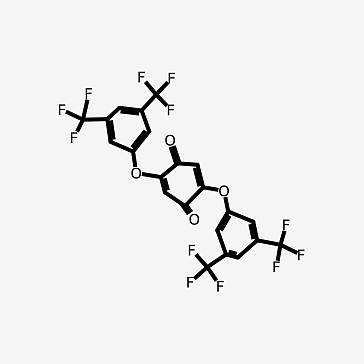 O=C1C=C(Oc2cc(C(F)(F)F)cc(C(F)(F)F)c2)C(=O)C=C1Oc1cc(C(F)(F)F)cc(C(F)(F)F)c1